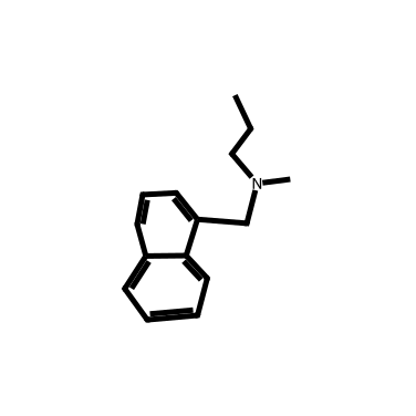 CCCN(C)Cc1cccc2ccccc12